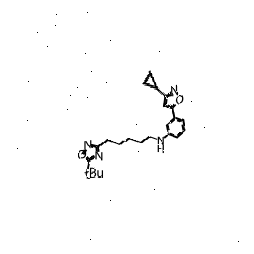 CC(C)(C)c1nc(CCCCCNc2cccc(-c3cc(C4CC4)no3)c2)no1